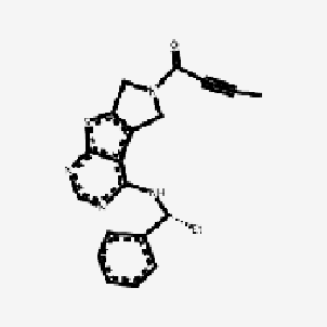 CC#CC(=O)N1Cc2sc3ncnc(N[C@H](CC)c4ccccc4)c3c2C1